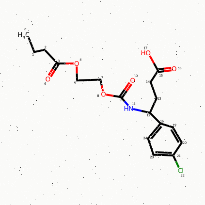 CCCC(=O)OCCOC(=O)NC(CCC(=O)O)c1ccc(Cl)cc1